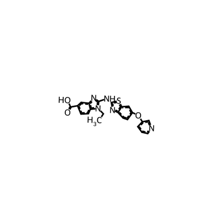 CCn1c(Nc2nc3ccc(Oc4cccnc4)cc3s2)nc2cc(C(=O)O)ccc21